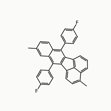 Cc1ccc2c(-c3ccc(F)cc3)c3c(c(-c4ccc(F)cc4)c2c1)-c1ccc(C)c2cccc-3c12